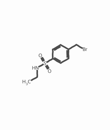 CCNS(=O)(=O)c1ccc(CBr)cc1